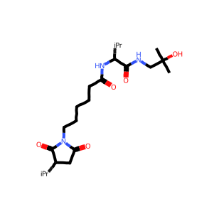 CC(C)C1CC(=O)N(CCCCCC(=O)NC(C(=O)NCC(C)(C)O)C(C)C)C1=O